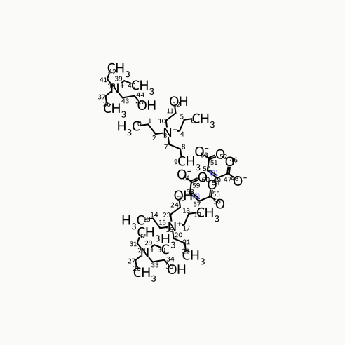 CCC[N+](CCC)(CCC)CCO.CCC[N+](CCC)(CCC)CCO.CC[N+](CC)(CC)CCO.CC[N+](CC)(CC)CCO.O=C([O-])/C=C\C(=O)[O-].O=C([O-])/C=C\C(=O)[O-]